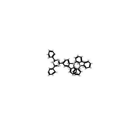 c1ccc(-c2nc(-c3ccccc3)nc(-c3ccc4c(c3)c3ccccc3n4-c3cccc4c5ccccc5n(-c5ccccc5)c34)n2)cc1